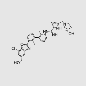 Cc1c(NC(=N)c2ncc(CN3CC[C@H](O)C3)[nH]2)cccc1-c1cccc(-c2nc3cc(CO)cc(Cl)c3o2)c1C